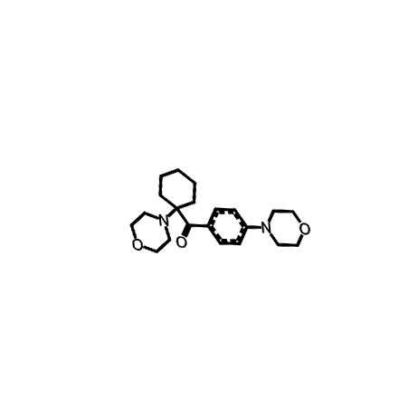 O=C(c1ccc(N2CCOCC2)cc1)C1(N2CCOCC2)CCCCC1